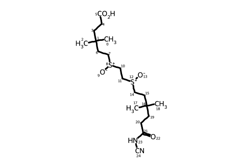 CC(C)(CCC(=O)O)CC[S+]([O-])CC[S+]([O-])CCC(C)(C)CCC(=O)NC#N